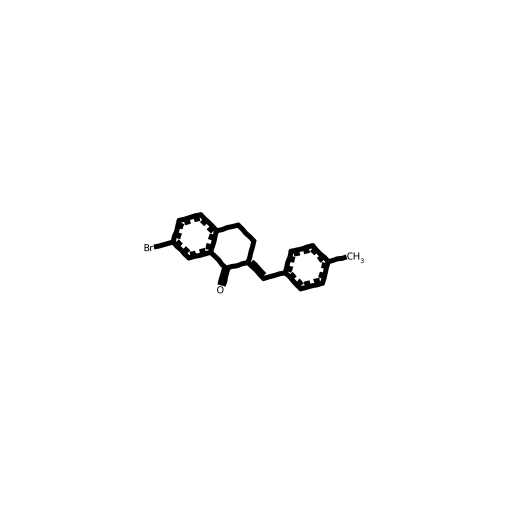 Cc1ccc(/C=C2\CCc3ccc(Br)cc3C2=O)cc1